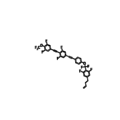 C=CCCc1cc(F)c(C(F)(F)Oc2ccc(C#Cc3cc(F)c(C#Cc4cc(F)c(OC(F)(F)F)c(F)c4)c(F)c3)cc2)c(F)c1